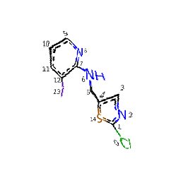 Clc1ncc(CNc2ncccc2I)s1